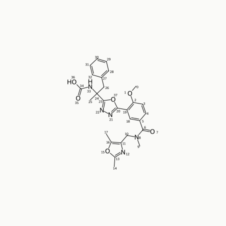 COc1ccc(C(=O)N(C)Cc2nc(C)oc2C)cc1-c1nnc(C(C)(Cc2ccccc2)NC(=O)O)o1